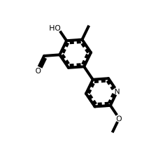 COc1ccc(-c2cc(C)c(O)c(C=O)c2)cn1